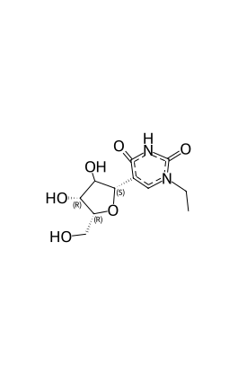 CCn1cc([C@@H]2O[C@H](CO)[C@H](O)C2O)c(=O)[nH]c1=O